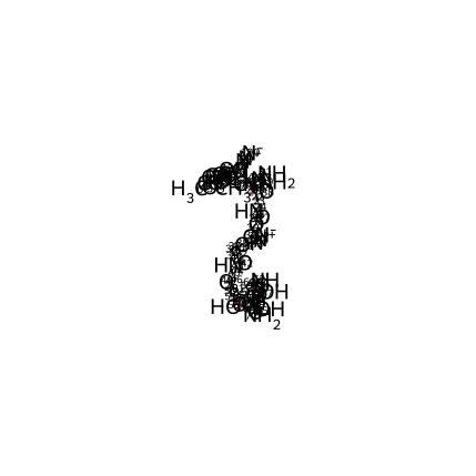 COP(=O)(O)OP(=O)(OC)OP(=O)(O)OCC1OC(n2cc(C#CCNC(=O)COCCOC(COc3cccc(C(=O)NCCCC(=O)c4ccc(C(=O)O)c(-c5c6ccc(=N)c(S(=O)(=O)O)c-6oc6c(S(=O)(=O)O)c(N)ccc56)c4)c3)N=[N+]=[N-])c3c(=O)[nH]c(N)nc32)CC1OCN=[N+]=[N-]